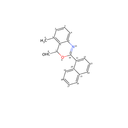 Cc1cccc2c1C(C=O)OC(c1cccc3ccccc13)=N2